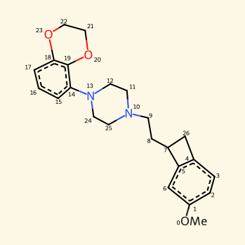 COc1ccc2c(c1)C(CCN1CCN(c3cccc4c3OCCO4)CC1)C2